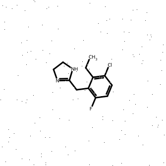 CCc1c(Cl)ccc(F)c1CC1=NCCN1